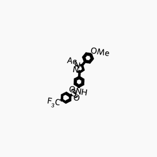 COc1ccc(C2CC(c3ccc(NS(=O)(=O)C4=CCC(C(F)(F)F)C=C4)cc3)=NN2C(C)=O)cc1